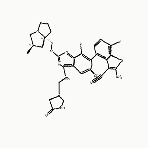 C[C@H]1CN2CCC[C@@]2(COc2nc(NCC3CNC(=O)C3)c3cc(Cl)c(-c4ccc(F)c5sc(N)c(C#N)c45)c(F)c3n2)C1